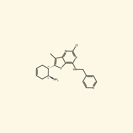 Cc1c([C@H]2CC=CC[C@@H]2N)sc2c(NCc3ccncc3)nc(Cl)nc12